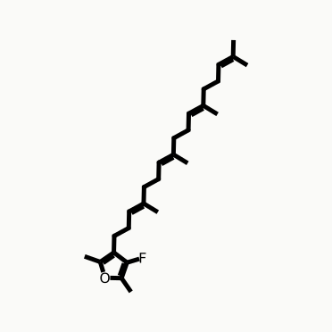 CC(C)=CCC/C(C)=C/CC/C(C)=C/CC/C(C)=C/CCc1c(C)oc(C)c1F